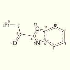 [CH2]C(C)CC(=O)c1nc2ccccc2o1